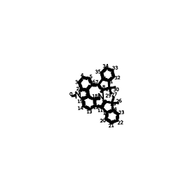 Cn1c2cccc3c4c(n5c6c(c7ccc1c(c32)c75)-c1ccccc1C6(C)C)C(C)(C)c1ccccc1-4